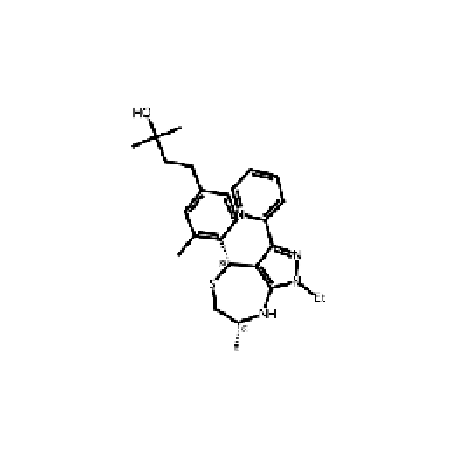 CCn1nc(-c2ccccn2)c2c1N[C@H](C)CS[C@@H]2c1ccc(CCC(C)(C)O)cc1C